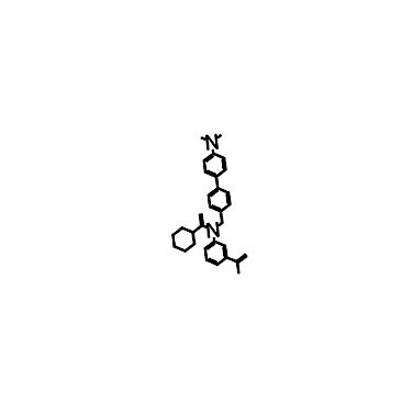 C=C(C)c1cccc(N(Cc2ccc(-c3ccc(N(C)C)cc3)cc2)C(=C)C2CCCCC2)c1